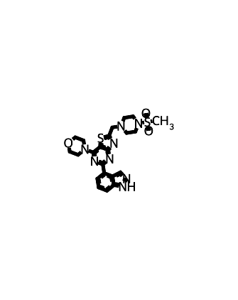 CS(=O)(=O)N1CCN(Cc2nc3nc(-c4cccc5[nH]ncc45)nc(N4CCOCC4)c3s2)CC1